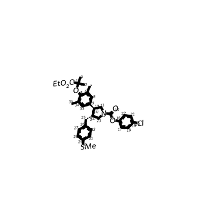 CCOC(=O)C(C)(C)Oc1c(C)cc([C@H]2CN(C(=O)Oc3ccc(Cl)cc3)C[C@@H]2Cc2ccc(SC)cc2)cc1C